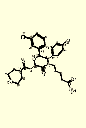 O=C(O)CCCCN1C(=O)[C@H](CC(=O)N2CCOCC2)O[C@@H](c2cccc(Cl)c2)[C@H]1c1ccc(Cl)cc1